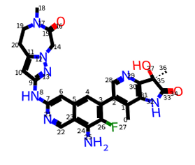 Cc1c(-c2cc3cc(Nc4cc5n(n4)CC(=O)N(C)CC5)ncc3c(N)c2F)cnc2c1NC(=O)[C@]2(C)O